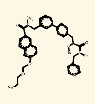 CCOC(Cc1ccc(-c2cccc(CN(C)C(=O)c3ccc4cc(OCOCCOC)ccc4c3)c2)cc1)C(=O)N(CC)Cc1ccncc1